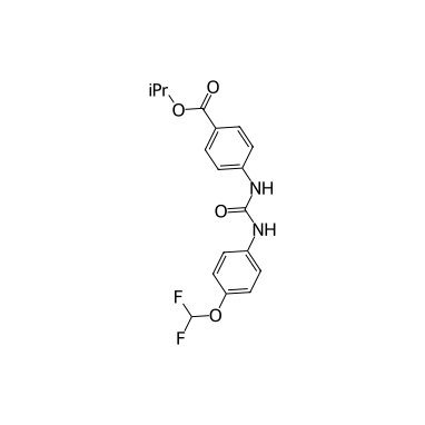 CC(C)OC(=O)c1ccc(NC(=O)Nc2ccc(OC(F)F)cc2)cc1